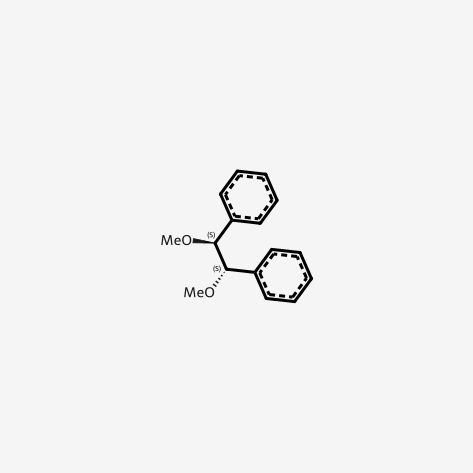 CO[C@@H](c1ccccc1)[C@@H](OC)c1ccccc1